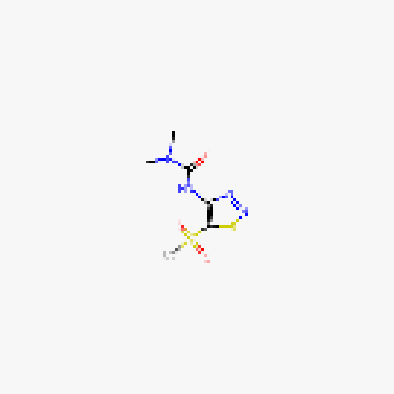 CCS(=O)(=O)c1snnc1NC(=O)N(C)C